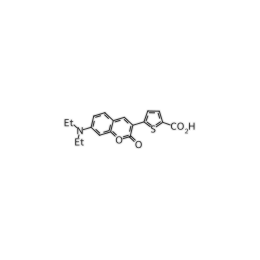 CCN(CC)c1ccc2cc(-c3ccc(C(=O)O)s3)c(=O)oc2c1